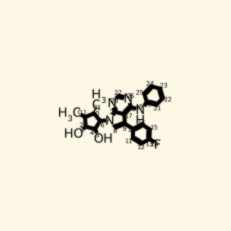 CC1C(O)C(O)C(n2cc(-c3ccc(F)cc3)c3c(Nc4ccccc4)ncnc32)[C@H]1C